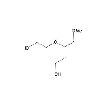 COCC(CCO)OCCO